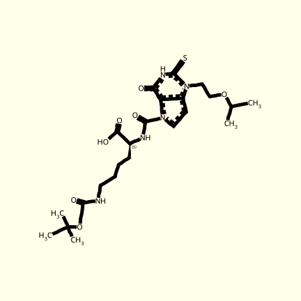 CC(C)OCCn1c(=S)[nH]c(=O)c2c1ccn2C(=O)N[C@@H](CCCCNC(=O)OC(C)(C)C)C(=O)O